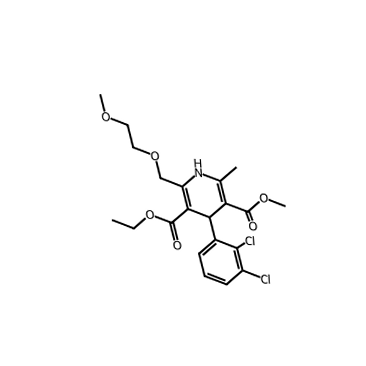 CCOC(=O)C1=C(COCCOC)NC(C)=C(C(=O)OC)C1c1cccc(Cl)c1Cl